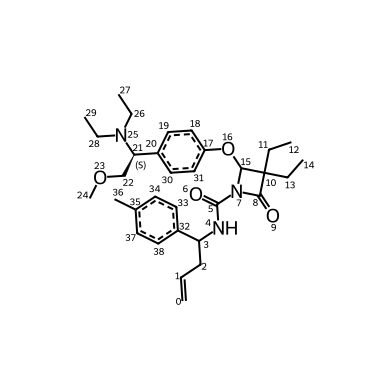 C=CCC(NC(=O)N1C(=O)C(CC)(CC)C1Oc1ccc([C@@H](COC)N(CC)CC)cc1)c1ccc(C)cc1